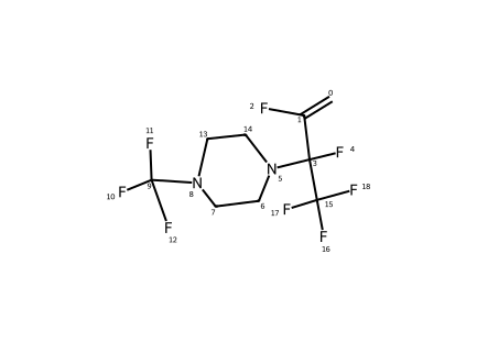 C=C(F)C(F)(N1CCN(C(F)(F)F)CC1)C(F)(F)F